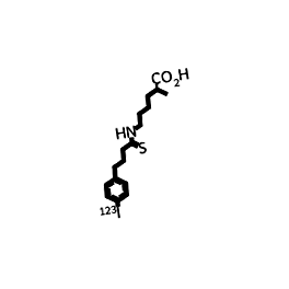 C[C@@H](CCCCNC(=S)CCCc1ccc([123I])cc1)C(=O)O